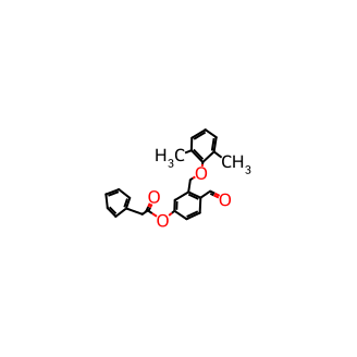 Cc1cccc(C)c1OCc1cc(OC(=O)Cc2ccccc2)ccc1C=O